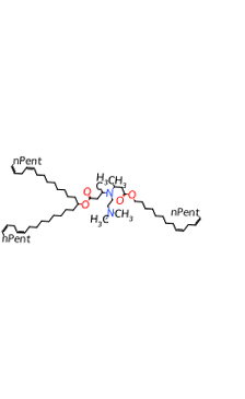 CCCCC/C=C\C/C=C\CCCCCCCCOC(=O)CC(C)N(CCN(C)C)C(C)CC(=O)OC(CCCCCCCC/C=C\C/C=C\CCCCC)CCCCCCCC/C=C\C/C=C\CCCCC